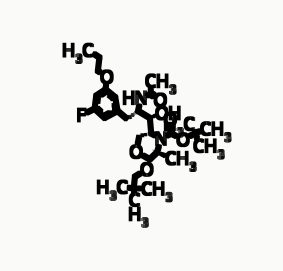 CCCOc1cc(F)cc(C[C@H](NC(C)=O)[C@H](O)[C@H]2CO[C@@H](OCC(C)(C)C)[C@H](C)N2C(=O)OC(C)(C)C)c1